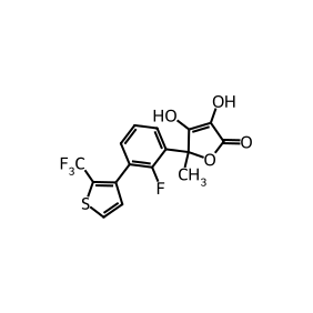 CC1(c2cccc(-c3ccsc3C(F)(F)F)c2F)OC(=O)C(O)=C1O